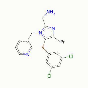 CC(C)c1nc(CN)n(Cc2cccnc2)c1Sc1cc(Cl)cc(Cl)c1